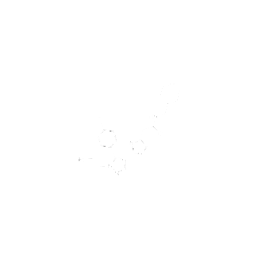 CC(C)CCn1ncc(-c2nc(CC(=O)NCC3CCOCC3)cs2)c1-c1ccc(F)cc1